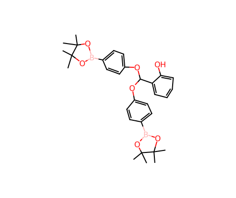 CC1(C)OB(c2ccc(OC(Oc3ccc(B4OC(C)(C)C(C)(C)O4)cc3)c3ccccc3O)cc2)OC1(C)C